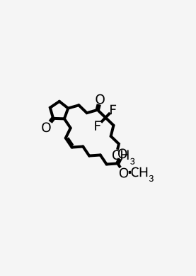 CCCCC(F)(F)C(=O)CCC1CCC(=O)C1C/C=C\CCCCC(=O)OC